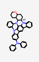 c1ccc(N(c2ccccc2)c2ccc3c(c2)c2cc4c5ccccc5n5c4c4c2n3-c2ccccc2N4C2C3CCCOC3CC[C@H]25)cc1